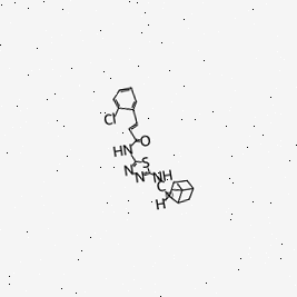 CC1(C)C2CC[C@@H](CNc3nnc(NC(=O)C=Cc4ccccc4Cl)s3)C1C2